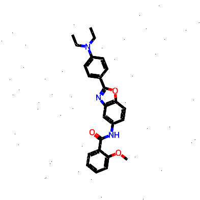 CCN(CC)c1ccc(-c2nc3cc(NC(=O)c4ccccc4OC)ccc3o2)cc1